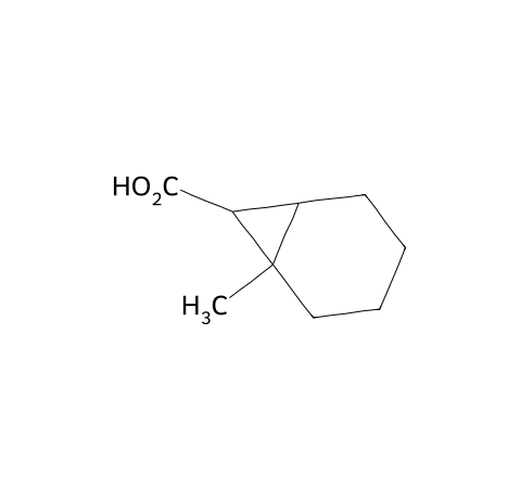 CC12CCCCC1C2C(=O)O